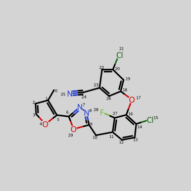 Cc1ccoc1-c1nnc(Cc2ccc(Cl)c(Oc3cc(Cl)cc(C#N)c3)c2F)o1